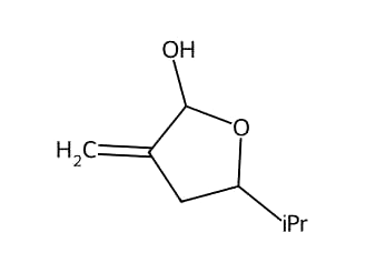 C=C1CC(C(C)C)OC1O